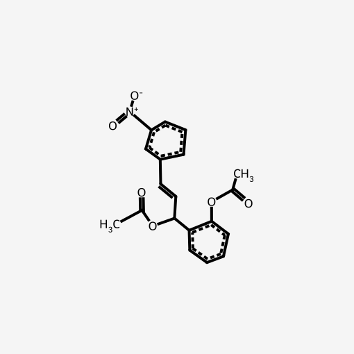 CC(=O)Oc1ccccc1C(/C=C/c1cccc([N+](=O)[O-])c1)OC(C)=O